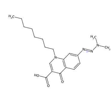 CCCCCCCCn1cc(C(=O)O)c(=O)c2ccc(/N=N/N(C)C)cc21